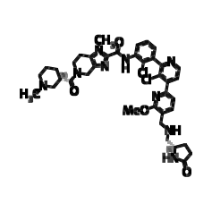 COc1nc(-c2ccnc(-c3cccc(NC(=O)c4nc5c(n4C)CCN(C(=O)[C@H]4CCCN(C)C4)C5)c3Cl)c2Cl)ccc1CNC[C@@H]1CCC(=O)N1